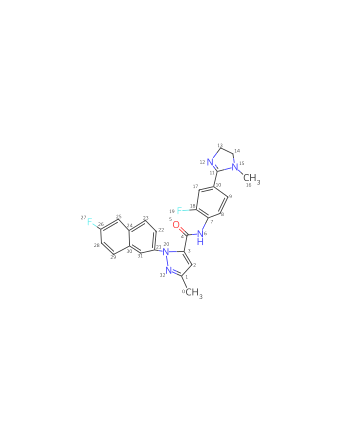 Cc1cc(C(=O)Nc2ccc(C3=NCCN3C)cc2F)n(-c2ccc3cc(F)ccc3c2)n1